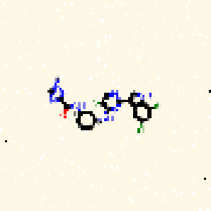 Cn1cnc(C(=O)N[C@@H]2CCC[C@H](Nc3nc(-c4c[nH]c5c(F)cc(Cl)cc45)ncc3F)C2)n1